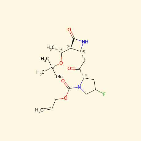 C=CCOC(=O)N1CC(F)C[C@H]1C(=O)C[C@H]1NC(=O)[C@@H]1[C@@H](C)O[Si](C)(C)C(C)(C)C